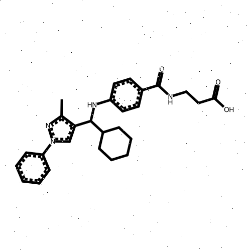 Cc1nn(-c2ccccc2)cc1C(Nc1ccc(C(=O)NCCC(=O)O)cc1)C1CCCCC1